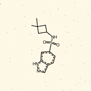 CC1(C)CC(NS(=O)(=O)c2ccc3cn[nH]c3c2)C1